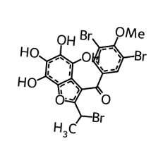 COc1c(Br)cc(C(=O)c2c(C(C)Br)oc3c(O)c(O)c(O)c(O)c23)cc1Br